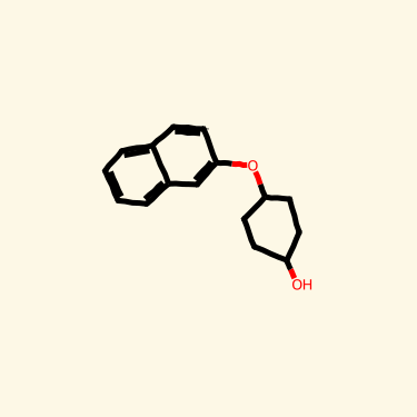 OC1CCC(Oc2[c]cc3ccccc3c2)CC1